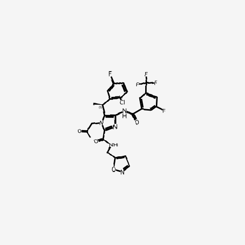 CC(=O)Cn1c(C(=O)NCc2ccno2)nc(NC(=O)c2cc(F)cc(C(F)(F)F)c2)c1[C@@H](C)c1cc(F)ccc1Cl